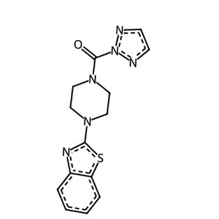 O=C(N1CCN(c2nc3ccccc3s2)CC1)n1nccn1